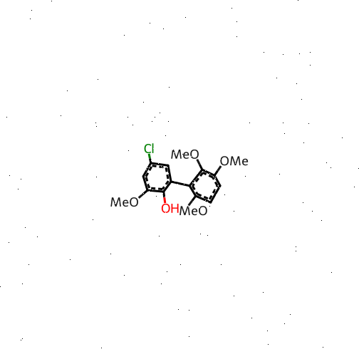 COc1cc(Cl)cc(-c2c(OC)ccc(OC)c2OC)c1O